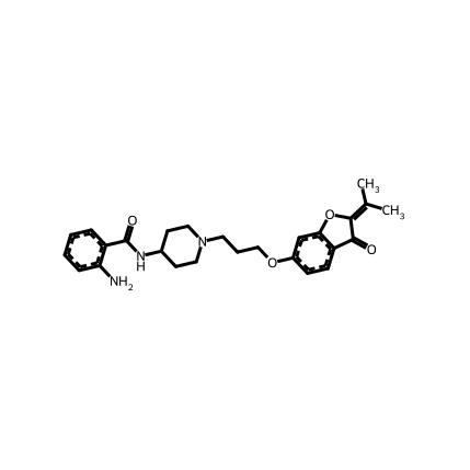 CC(C)=C1Oc2cc(OCCCN3CCC(NC(=O)c4ccccc4N)CC3)ccc2C1=O